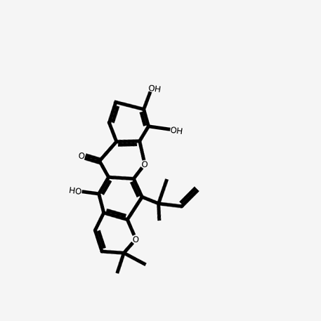 C=CC(C)(C)c1c2c(c(O)c3c(=O)c4ccc(O)c(O)c4oc13)C=CC(C)(C)O2